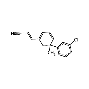 CC1(c2cccc(Cl)c2)C=CC=C(C=CC#N)C1